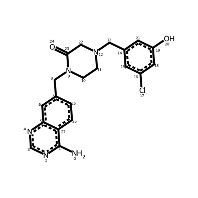 Nc1ncnc2cc(CN3CCN(Cc4[c]c(Cl)cc(O)c4)CC3=O)ccc12